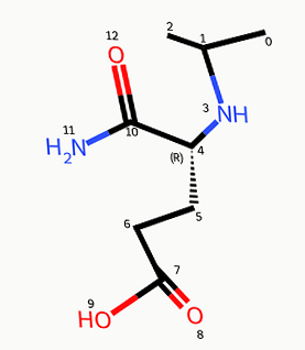 CC(C)N[C@H](CCC(=O)O)C(N)=O